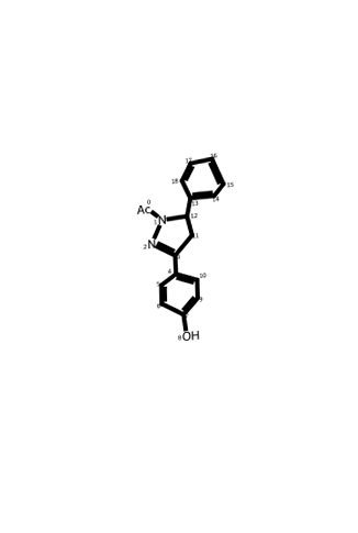 CC(=O)N1N=C(c2ccc(O)cc2)CC1c1ccccc1